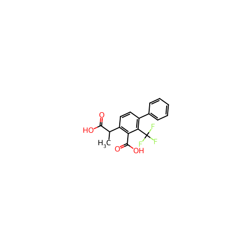 CC(C(=O)O)c1ccc(-c2ccccc2)c(C(F)(F)F)c1C(=O)O